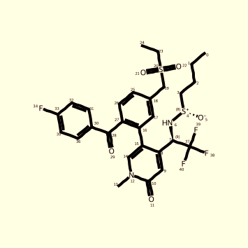 CCCC[S@+]([O-])N[C@H](c1cc(=O)n(C)cc1-c1cc(CS(=O)(=O)CC)ccc1C(=O)c1ccc(F)cc1)C(F)(F)F